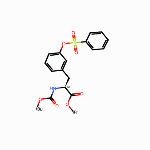 CC(C)OC(=O)[C@H](Cc1cccc(OS(=O)(=O)c2ccccc2)c1)NC(=O)OC(C)(C)C